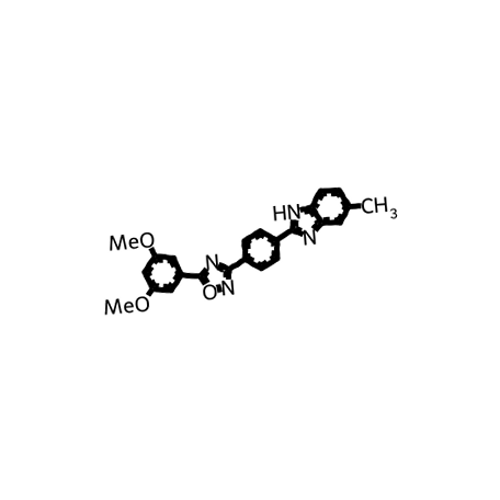 COc1cc(OC)cc(-c2nc(-c3ccc(-c4nc5cc(C)ccc5[nH]4)cc3)no2)c1